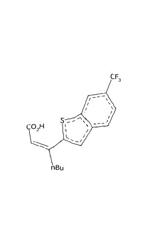 CCCC/C(=C/C(=O)O)c1cc2ccc(C(F)(F)F)cc2s1